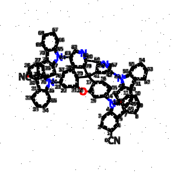 N#Cc1ccc2c(c1)c1ccccc1n2-c1ccc2c(c1)Oc1cc(-n3c4ccccc4c4ccccc43)ccc1C21c2cc(-n3c4ccccc4c4ccccc43)cnc2-c2ncc(-n3c4ccccc4c4cc(C#N)ccc43)cc21